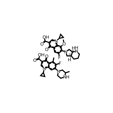 COc1c(N2C[C@@H]3CCCN[C@@H]3C2)c(F)cc2c(=O)c(C(=O)O)cn(C3CC3)c12.Cc1c(F)c(N2CCNC(C)C2)cc2c1c(=O)c(C(=O)O)cn2C1CC1